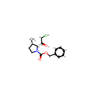 C[C@@H]1CCN(C(=O)OCc2ccccc2)[C@H]1C(=O)CCl